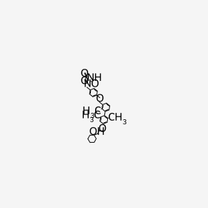 Cc1cc(OCCC2(O)CCCCC2)cc(C)c1-c1cccc(COc2ccc(Cn3oc(=O)[nH]c3=O)cc2)c1C